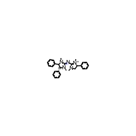 CN1CC(c2ccccc2)[N+](C)=C1/N=C1/N(C)C(c2ccccc2)[C@@H](c2ccccc2)N1C